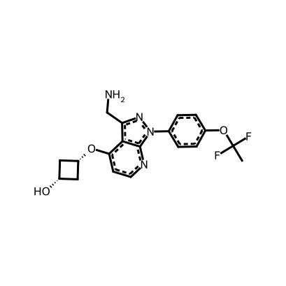 CC(F)(F)Oc1ccc(-n2nc(CN)c3c(O[C@H]4C[C@@H](O)C4)ccnc32)cc1